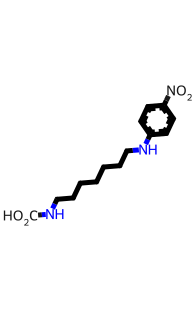 O=C(O)NCCCCCCCNc1ccc([N+](=O)[O-])cc1